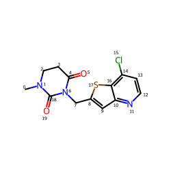 CN1CCC(=O)N(Cc2cc3nccc(Cl)c3s2)C1=O